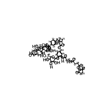 C[C@]12C=CC(=O)C=C1CC[C@@H]1[C@@H]2[C@@H](O)C[C@@]2(C)[C@H]1C[C@H]1O[C@@H](c3ccc(CC4(NC(=O)OCc5ccc(O[C@@H]6O[C@H](C(=O)O)[C@@H](O)[C@H](O)[C@H]6O)c(NC(=O)CCNC(=O)CCC(=O)ON6C(=O)CCC6=O)c5)CCC4)cc3)O[C@]12C(=O)CO